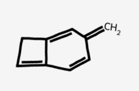 C=c1ccc2c(c1)CC=2